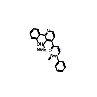 C=NN(/C=C\C(=O)c1ccnc(-c2ccccc2O)c1CNC)c1ccccc1